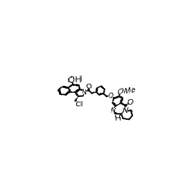 COc1cc2c(cc1OCc1cccc(CC(=O)N3C[C@@H](CCl)c4c3cc(O)c3ccccc43)c1)N=C[C@@H]1CCCCN1C2=O